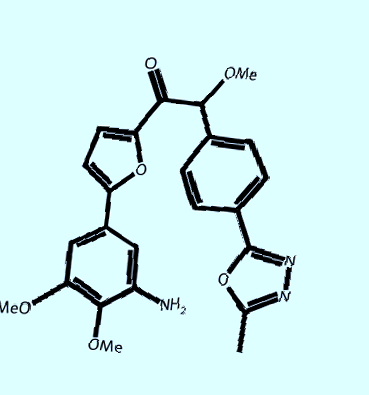 COc1cc(-c2ccc(C(=O)C(OC)c3ccc(-c4nnc(C)o4)cc3)o2)cc(N)c1OC